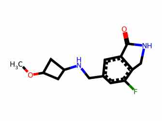 COC1CC(NCc2cc(F)c3c(c2)C(=O)NC3)C1